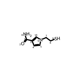 NC(=O)c1ccn(CCS)c1